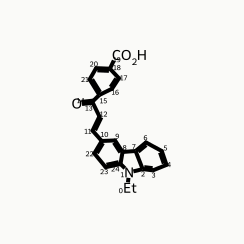 CCn1c2ccccc2c2cc(C=CC(=O)c3ccc(C(=O)O)cc3)ccc21